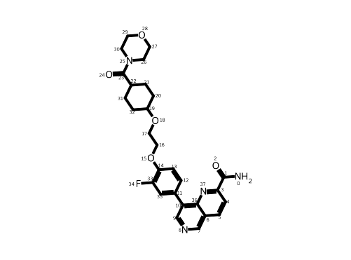 NC(=O)c1ccc2cncc(-c3ccc(OCCOC4CCC(C(=O)N5CCOCC5)CC4)c(F)c3)c2n1